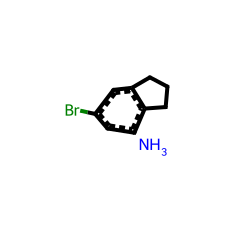 Brc1ccc2c(c1)CCC2.N